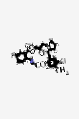 CCOC(=O)/C=C/c1ccc(F)cc1[C@@H](C)OC[C@H](O)CN1CCC[C@H]1Cc1ccc(C)c(Cl)c1